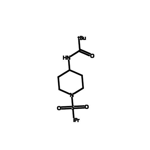 CC(C)S(=O)(=O)N1CCC(NC(=O)C(C)(C)C)CC1